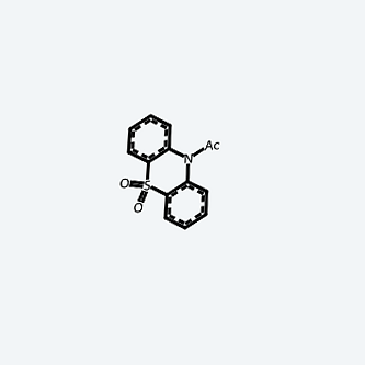 CC(=O)N1c2ccccc2S(=O)(=O)c2ccccc21